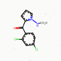 O=C(O)Nn1cccc1C(=O)c1ccc(Cl)cc1Cl